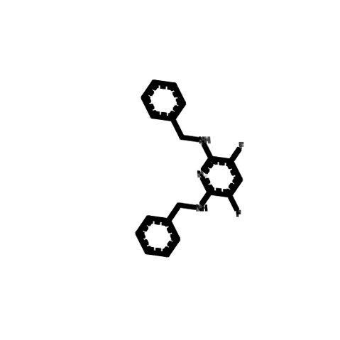 Fc1cc(F)c(NCc2ccccc2)nc1NCc1ccccc1